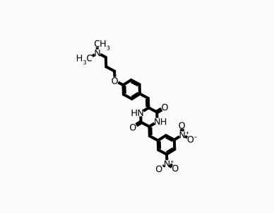 CN(C)CCCOc1ccc(C=c2[nH]c(=O)c(=Cc3cc([N+](=O)[O-])cc([N+](=O)[O-])c3)[nH]c2=O)cc1